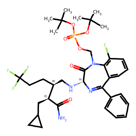 CC(C)(C)OP(=O)(OCN1C(=O)[C@@H](NC[C@H](CCC(F)(F)F)[C@H](CC2CC2)C(N)=O)N=C(c2ccccc2)c2cccc(F)c21)OC(C)(C)C